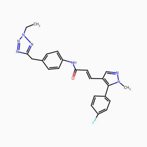 CCn1nnc(Cc2ccc(NC(=O)C=Cc3cnn(C)c3-c3ccc(F)cc3)cc2)n1